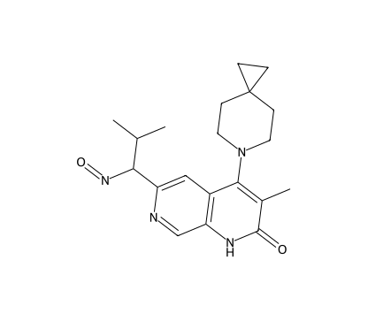 Cc1c(N2CCC3(CC2)CC3)c2cc(C(N=O)C(C)C)ncc2[nH]c1=O